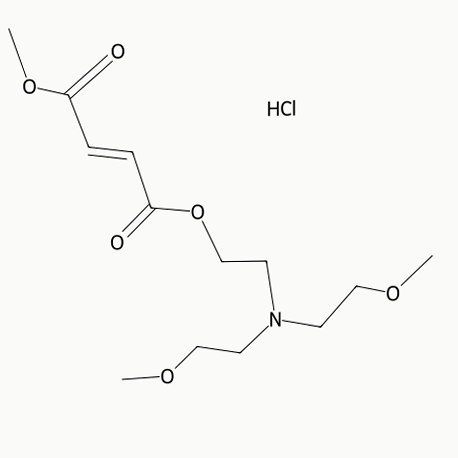 COCCN(CCOC)CCOC(=O)C=CC(=O)OC.Cl